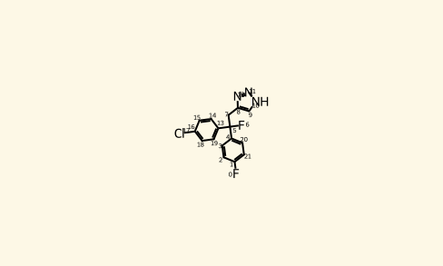 Fc1ccc(C(F)(Cc2c[nH]nn2)c2ccc(Cl)cc2)cc1